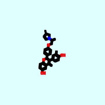 CC1=C(c2ccc(O)c(C)c2)C(c2ccc(OCC(C)N3CC[C@@H](C)C3)cc2)Oc2ccc(O)cc21